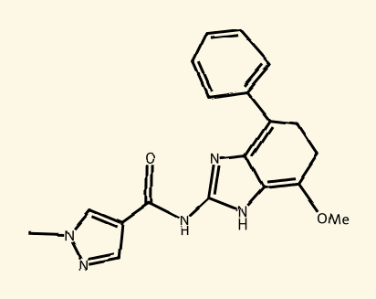 COC1=c2[nH]c(NC(=O)c3cnn(C)c3)nc2=C(c2ccccc2)CC1